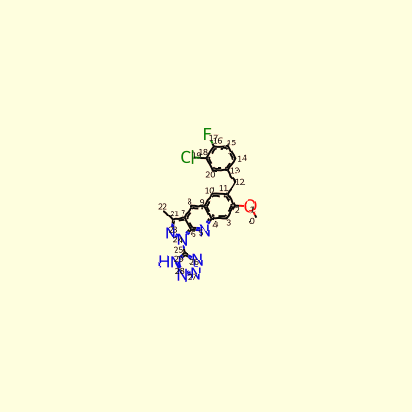 COc1cc2nc3c(cc2cc1Cc1ccc(F)c(Cl)c1)c(C)nn3-c1nnn[nH]1